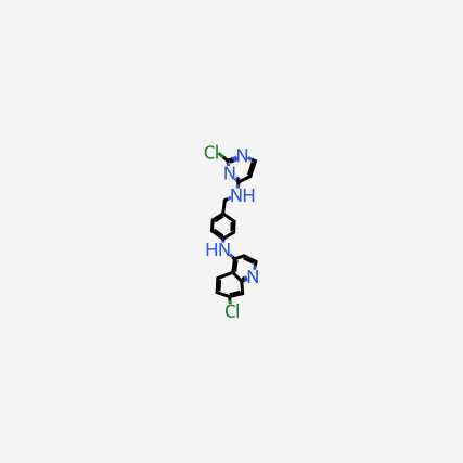 Clc1ccc2c(Nc3ccc(CNc4ccnc(Cl)n4)cc3)ccnc2c1